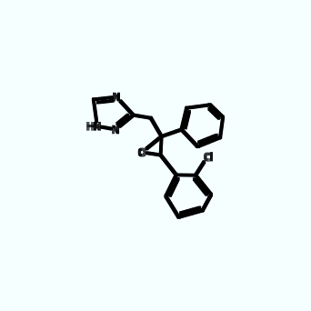 Clc1ccccc1C1OC1(Cc1nc[nH]n1)c1ccccc1